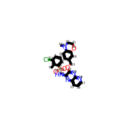 Cc1c(Cl)cccc1S(=O)(=O)Nc1nc2cccnc2nc1OCc1ccc2c(c1)OCCN2C